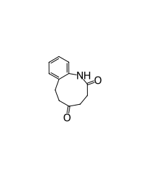 O=C1CCC(=O)Nc2ccccc2CC1